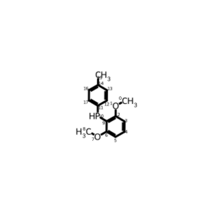 COc1cccc(OC)c1Pc1ccc(C)cc1